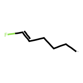 [CH2]CCC/C=C/F